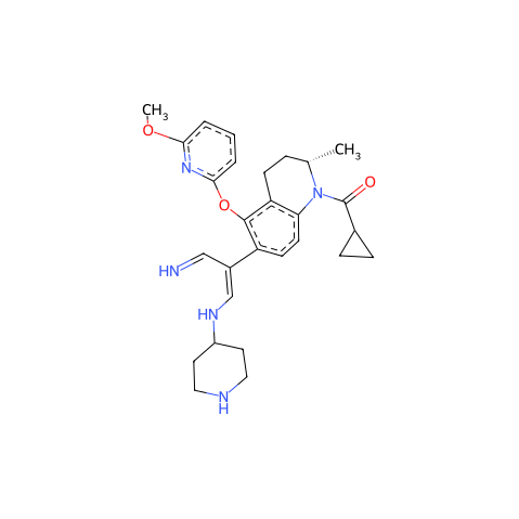 COc1cccc(Oc2c(/C(C=N)=C/NC3CCNCC3)ccc3c2CC[C@H](C)N3C(=O)C2CC2)n1